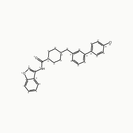 O=C(Nc1noc2ccccc12)N1CCN(Cc2cccc(-c3ccc(Cl)cc3)c2)CC1